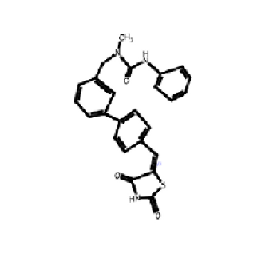 CN(Cc1cccc(-c2ccc(/C=C3/SC(=O)NC3=O)cc2)c1)C(=O)Nc1ccccc1